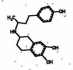 CC(CCc1ccc(O)cc1)NC1CCc2cc(O)c(O)cc2C1